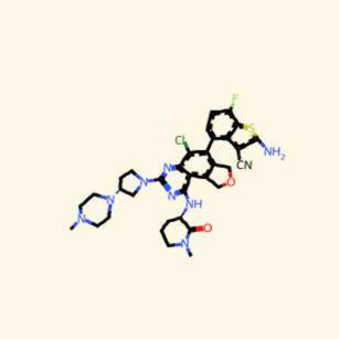 CN1CCN([C@@H]2CCN(c3nc(N[C@@H]4CCCN(C)C4=O)c4c5c(c(-c6ccc(F)c7sc(N)c(C#N)c67)c(Cl)c4n3)COC5)C2)CC1